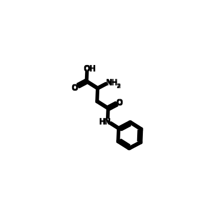 NC(CC(=O)Nc1ccccc1)C(=O)O